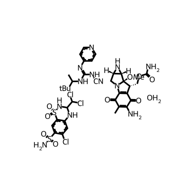 CC(N/C(=N/c1ccncc1)NC#N)C(C)(C)C.CO[C@@]12[C@H](COC(N)=O)C3=C(C(=O)C(C)=C(N)C3=O)N1C[C@@H]1N[C@@H]12.NS(=O)(=O)c1cc2c(cc1Cl)NC(C(Cl)Cl)NS2(=O)=O.O